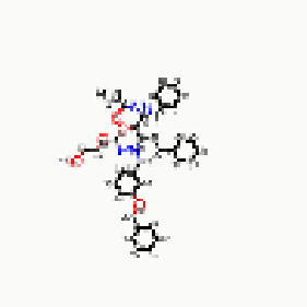 BC(=O)N[C@H](Cc1ccccc1)[C@H](OCOCCOC)[C@@H](CCc1ccccc1)NCc1cccc(OCc2ccccc2)c1